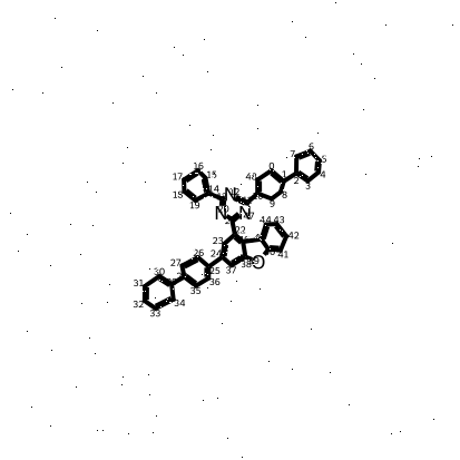 C1=C(c2ccccc2)CCC(c2nc(-c3ccccc3)nc(-c3cc(-c4ccc(-c5ccccc5)cc4)cc4oc5ccccc5c34)n2)=C1